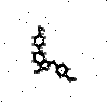 CCc1nn(Cc2ccc(OC)cc2)c2cc(N3CCN(C)CC3)ccc12